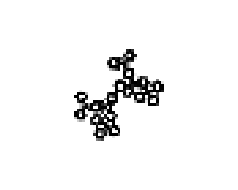 c1ccc(N(c2ccccc2)c2ccc(N(c3ccc(-c4cccc5c(N(c6ccc(N(c7ccccc7)c7ccccc7)cc6)c6ccc7c(c6)C(c6ccccc6)(c6ccccc6)c6ccccc6-7)cccc45)cc3)c3ccc4c(c3)C(c3ccccc3)(c3ccccc3)c3ccccc3-4)cc2)cc1